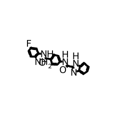 Nc1ccc(F)cc1NC(=O)c1ccc(NC(=O)c2nc3ccccc3[nH]2)cc1